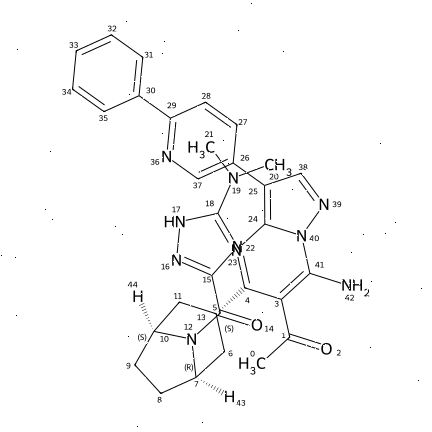 CC(=O)c1c([C@@H]2C[C@H]3CC[C@@H](C2)N3C(=O)c2n[nH]c(N(C)C)n2)nc2c(-c3ccc(-c4ccccc4)nc3)cnn2c1N